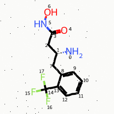 N[C@@H](CC(=O)NO)Cc1ccccc1C(F)(F)F